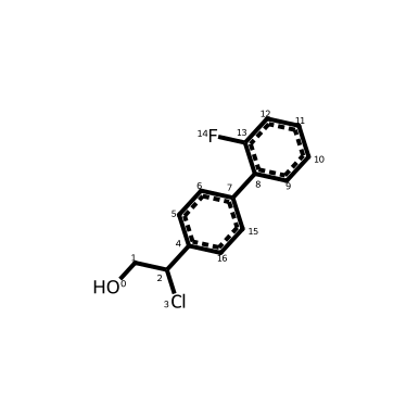 OCC(Cl)c1ccc(-c2ccccc2F)cc1